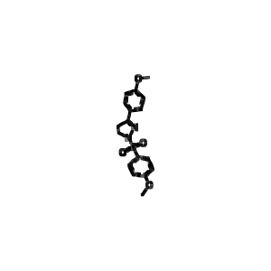 COc1ccc(C2=NN(S(=O)(=O)c3ccc(OC)cc3)CC2)cc1